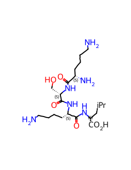 CC(C)C[C@H](NC(=O)[C@H](CCCCN)NC(=O)[C@H](CO)NC(=O)[C@@H](N)CCCCN)C(=O)O